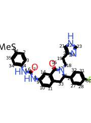 CSc1ccc(NC(=O)Nc2ccc3c(c2)C(=O)N(CCc2c[nH]cn2)C(c2ccc(F)cc2)C3)cc1